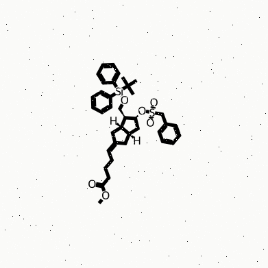 COC(=O)CCC/C=C1\C[C@H]2C[C@@H](OS(=O)(=O)Cc3ccccc3)[C@H](CO[Si](c3ccccc3)(c3ccccc3)C(C)(C)C)[C@H]2C1